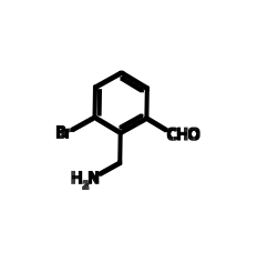 NCc1c(Br)cccc1C=O